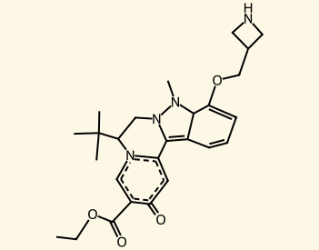 CCOC(=O)c1cn2c(cc1=O)C1=C3C=CC=C(OCC4CNC4)C3N(C)N1CC2C(C)(C)C